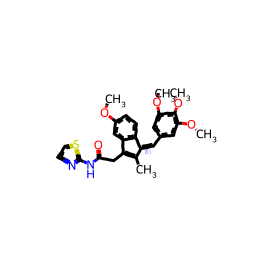 COc1ccc2c(c1)C(CC(=O)Nc1nccs1)=C(C)/C2=C/c1cc(OC)c(OC)c(OC)c1